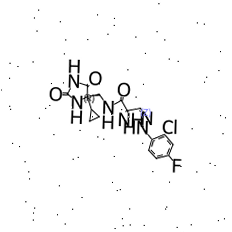 N=C(/C=N\Nc1ccc(F)cc1Cl)C(=O)NC[C@@]1(C2CC2)NC(=O)NC1=O